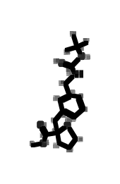 COC(=O)C1(Cc2cccc(CNC(=O)OC(C)(C)C)c2)CCCO1